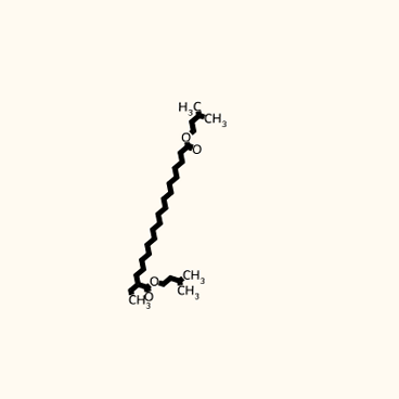 CCC(CCCCCCCCCCCCCCCCCC(=O)OCCC(C)C)C(=O)OCCC(C)C